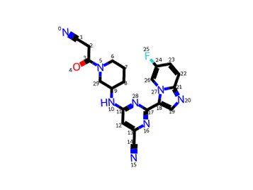 N#CCC(=O)N1CCCC(Nc2cc(C#N)nc(-c3cnc4ccc(F)cn34)n2)C1